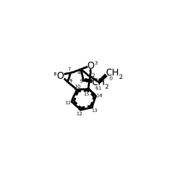 C=CC12OC1(C=C)C1OC1c1ccccc12